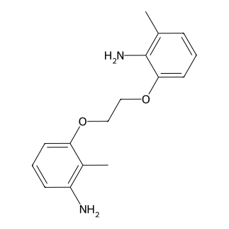 Cc1cccc(OCCOc2cccc(N)c2C)c1N